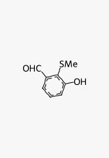 CSc1c(O)cccc1C=O